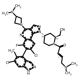 Cc1c(Cl)cc2[nH]ncc2c1-c1c(Cl)cc2c(nc(N3CC(N(C)C)C3)c3cnn([C@H]4CCN(C(=O)/C=C/CN(C)C)[C@H](CC#N)C4)c32)c1F